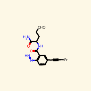 CC(C)C#Cc1ccc(N=N)c(C(=O)NC(CCC=O)C(N)=O)c1